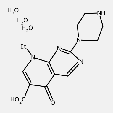 CCn1cc(C(=O)O)c(=O)c2cnc(N3CCNCC3)nc21.O.O.O